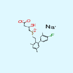 Cc1cc(C)c(CC[S+]([O-])CC(O)CC(=O)[O-])c(-c2ccc(F)c(C)c2)c1.[Na+]